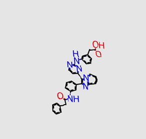 O=C(O)Cc1cccc(Nc2nccc(-c3c(-c4cccc(NC(=O)Cc5ccccc5)c4)nc4ccccn34)n2)c1